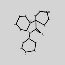 O=C(OC1CCOCC1)C1(C2CCCCC2)CCNCC1